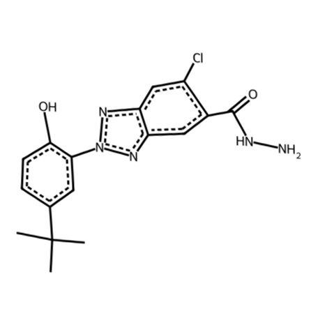 CC(C)(C)c1ccc(O)c(-n2nc3cc(Cl)c(C(=O)NN)cc3n2)c1